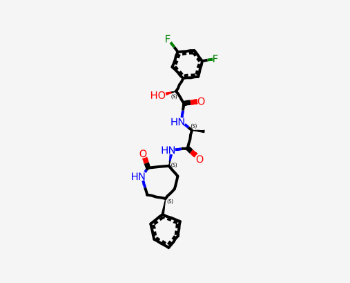 C[C@H](NC(=O)[C@@H](O)c1cc(F)cc(F)c1)C(=O)N[C@H]1CC[C@@H](c2ccccc2)CNC1=O